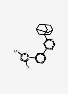 Cc1cc(C)n(-c2cccc(-c3ncnc(C45CC6CC(CC(C6)C4)C5)n3)c2)n1